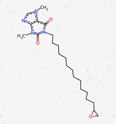 Cn1cnc2c1c(=O)n(CCCCCCCCCCCCCC1CO1)c(=O)n2C